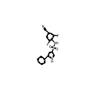 N#Cc1cc(F)c(NS(=O)(=O)c2c[nH]c(-c3ccccc3)c2)c(F)c1